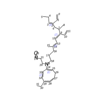 C=C/C(=C\CC)CC(C)/C(C=C)=C/C=C(\C)CCCN(CCN=O)C1=C/CC=C=C(CC)/C=C\1